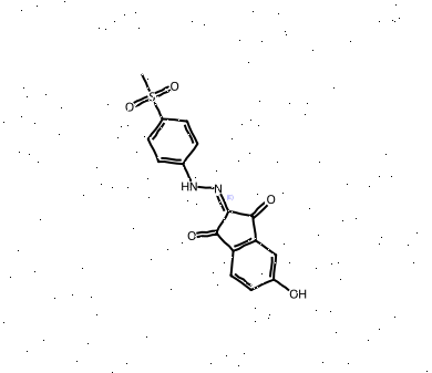 CS(=O)(=O)c1ccc(N/N=c2\c(=O)c3ccc(O)cc3c2=O)cc1